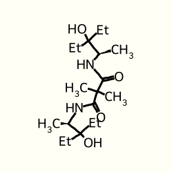 CCC(O)(CC)[C@@H](C)NC(=O)C(C)(C)C(=O)N[C@H](C)C(O)(CC)CC